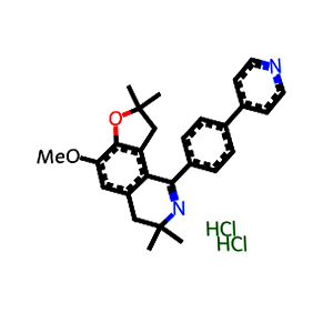 COc1cc2c(c3c1OC(C)(C)C3)C(c1ccc(-c3ccncc3)cc1)=NC(C)(C)C2.Cl.Cl